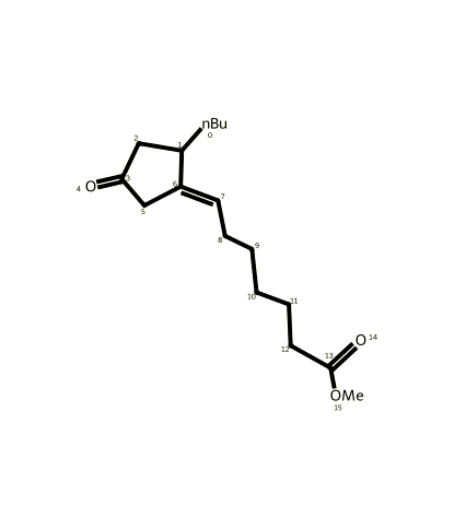 CCCCC1CC(=O)CC1=CCCCCCC(=O)OC